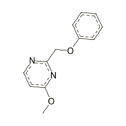 COc1ccnc(COc2ccccc2)n1